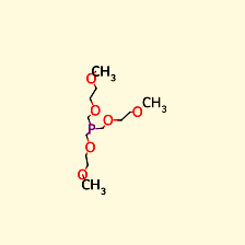 COCCOCP(COCCOC)COCCOC